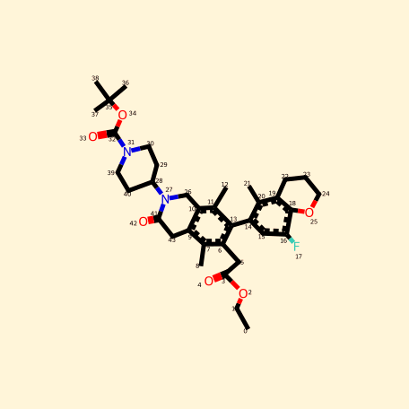 CCOC(=O)Cc1c(C)c2c(c(C)c1-c1cc(F)c3c(c1C)CCCO3)CN(C1CCN(C(=O)OC(C)(C)C)CC1)C(=O)C2